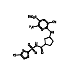 CCOC(=O)c1cc(C#N)c(NC2CCC(C(=O)NS(=O)(=O)c3ccc(Cl)s3)C2)nc1C(F)(F)F